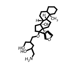 C[C@]12CCCCC1CC[C@@H]1[C@H]2CC[C@]2(C)C(OCC(CO)CC(O)CN)(c3ccoc3)CC[C@@]12O